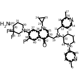 Cc1ccc(N2CCC[C@H](N(Cc3ccnc(C)c3)Cc3cn(C4CC4)c4cc(N5CC[C@@H](N)C(F)(F)C5)c(F)cc4c3=O)C2)cn1